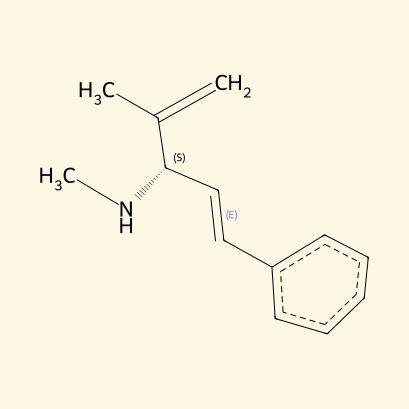 C=C(C)[C@H](/C=C/c1ccccc1)NC